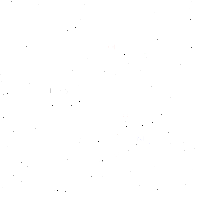 NS(=O)(=O)c1cccc(S(=O)(=O)O)c1-c1ccc(F)c(O)c1